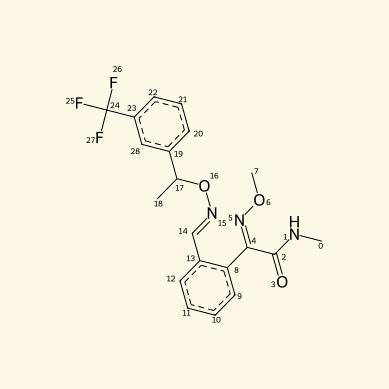 CNC(=O)C(=NOC)c1ccccc1C=NOC(C)c1cccc(C(F)(F)F)c1